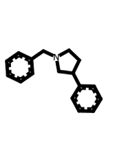 c1ccc(CN2CCC(c3ccccc3)C2)cc1